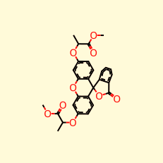 COC(=O)C(C)Oc1ccc2c(c1)Oc1cc(OC(C)C(=O)OC)ccc1C21OC(=O)c2ccccc21